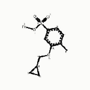 CCOS(=O)(=O)c1ccc(C)c(OCC2CC2)c1